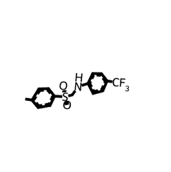 Cc1ccc(S(=O)(=O)CNc2ccc(C(F)(F)F)cc2)cc1